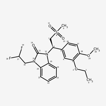 CCOc1cc([C@H](CS(C)(=O)=O)n2c(=O)n(CC(F)F)c3ccccc32)ccc1OC